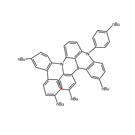 CCCCc1ccc(-c2cc(CCCC)ccc2N2c3ccc(CCCC)cc3B3c4cc(CCCC)ccc4N(c4ccc(CCCC)cc4)c4cccc2c43)cc1